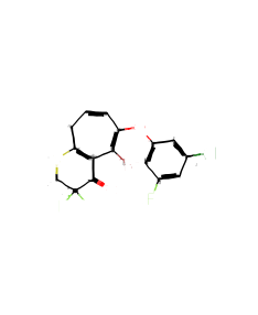 O=C1C2=C(CC=CC(Oc3cc(F)cc(Cl)c3)=C2Br)SCC1(F)F